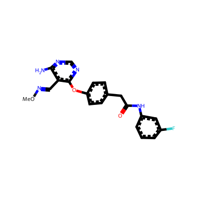 CON=Cc1c(N)ncnc1Oc1ccc(CC(=O)Nc2cccc(F)c2)cc1